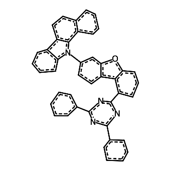 c1ccc(-c2nc(-c3ccccc3)nc(-c3cccc4oc5cc(-n6c7ccccc7c7ccc8ccccc8c76)ccc5c34)n2)cc1